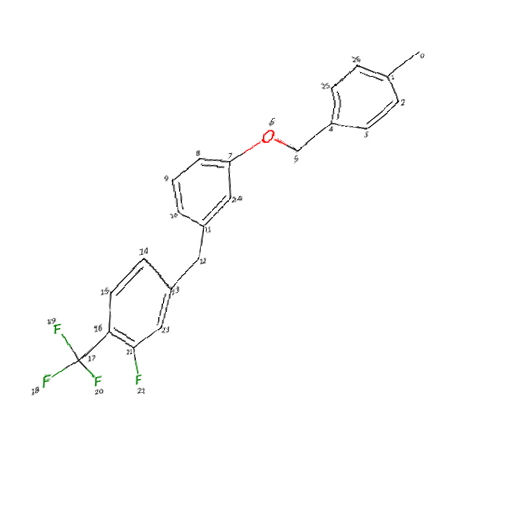 Cc1ccc(COc2cccc(Cc3ccc(C(F)(F)F)c(F)c3)c2)cc1